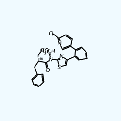 CN(C(=O)[C@@H](CC(=O)O)Cc1ccccc1)c1nc(-c2ccccc2-c2ccc(Cl)nc2)cs1